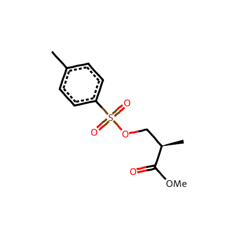 COC(=O)[C@H](C)COS(=O)(=O)c1ccc(C)cc1